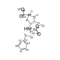 CCC(C)[C@@](C)(CCN[C@@H](CCc1ccccc1)C(=O)OC)C(=O)OC